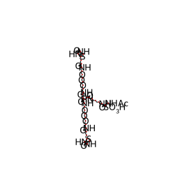 CC(=O)NCC(C(=O)NCCCCCCNC(=O)c1cc(C(=O)NCCCOCCOCCOCCCNC(=O)CCCCC2SCC3NC(=O)NC32)cc(C(=O)NCCCOCCOCCOCCCNC(=O)CCCCC2SCC3NC(=O)NC32)c1)S(=O)(=O)O